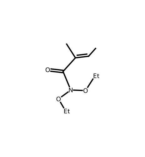 CC=C(C)C(=O)N(OCC)OCC